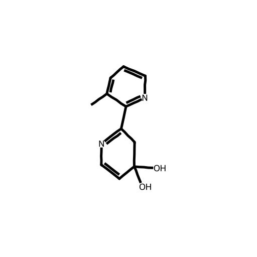 Cc1cccnc1C1=NC=CC(O)(O)C1